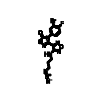 [N-]=[N+]=NCCCNc1nonc1-c1noc(=O)n1-c1ccc(F)c(Br)c1